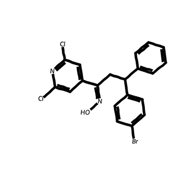 ON=C(CC(c1ccccc1)c1ccc(Br)cc1)c1cc(Cl)nc(Cl)c1